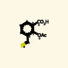 CC(=O)Oc1c(C=S)cccc1C(=O)O